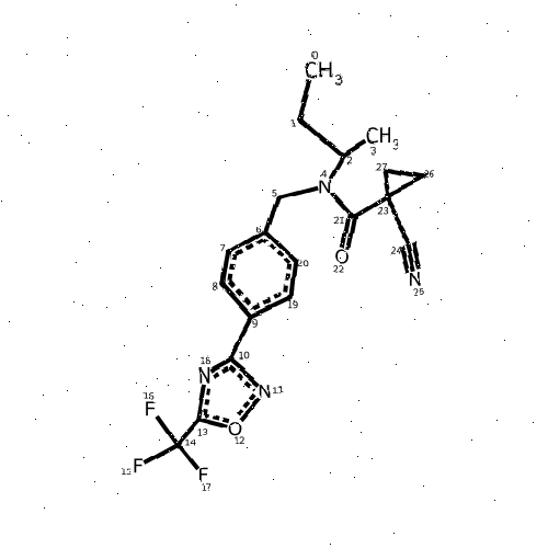 CCC(C)N(Cc1ccc(-c2noc(C(F)(F)F)n2)cc1)C(=O)C1(C#N)CC1